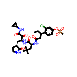 CCC(CC(=O)NC(CC(C)(C)C)C(=O)NC(C[C@@H]1CCNC1=O)C(=O)C(=O)NC1CC1)c1ccc(OS(C)(=O)=O)cc1Cl